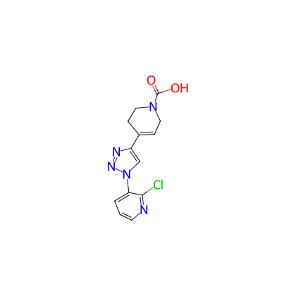 O=C(O)N1CC=C(c2cn(-c3cccnc3Cl)nn2)CC1